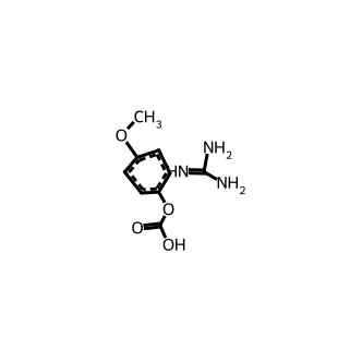 COc1ccc(OC(=O)O)cc1.N=C(N)N